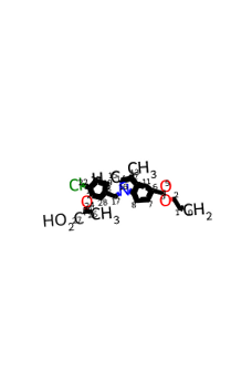 C=CCOC(=O)c1ccc2c(c1)c(C)c(C)n2Cc1ccc(Cl)c(O[C@@H](C)C(=O)O)c1